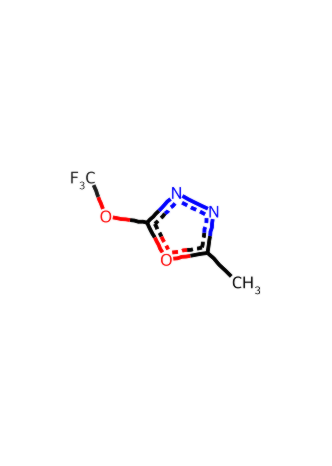 Cc1nnc(OC(F)(F)F)o1